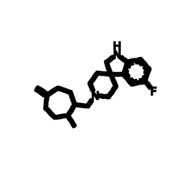 C=C1CCC(C)C(CN2CCC3(CC2)CNc2ccc(F)cc23)CC1